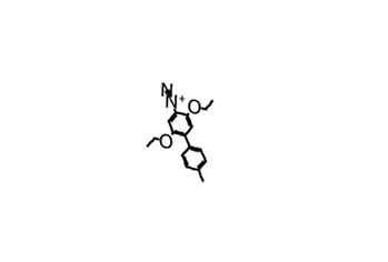 CCOc1cc(-c2ccc(C)cc2)c(OCC)cc1[N+]#N